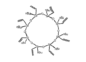 C=C[Si]1(CCCC)O[Si](C=C)(CCCC)O[Si](C=C)(CCCC)O[Si](C=C)(CCCC)O[Si](C=C)(CCCC)O[Si](C=C)(CCCC)O[Si](C=C)(CCCC)O[Si](C=C)(CCCC)O1